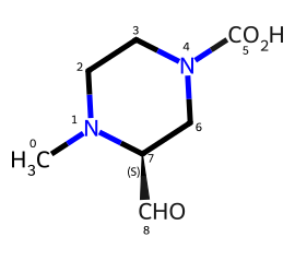 CN1CCN(C(=O)O)C[C@H]1C=O